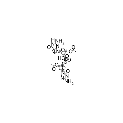 CC(=O)OC[C@H]1O[C@@H](n2cnc3c(=O)[nH]c(N)nc32)C[C@H]1OP(=O)(O)OC[C@H]1O[C@@H](n2cnc(N)nc2=O)C[C@H]1OC(C)=O